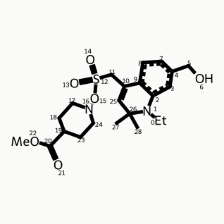 CCN1c2cc(CO)ccc2C(CS(=O)(=O)ON2CCC(C(=O)OC)CC2)=CC1(C)C